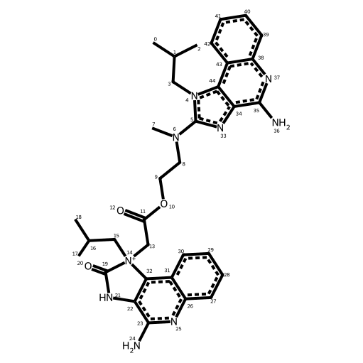 CC(C)Cn1c(N(C)CCOC(=O)C[N+]2(CC(C)C)C(=O)Nc3c(N)nc4ccccc4c32)nc2c(N)nc3ccccc3c21